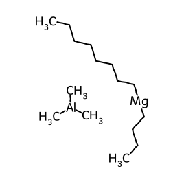 CCCCCCC[CH2][Mg][CH2]CCC.[CH3][Al]([CH3])[CH3]